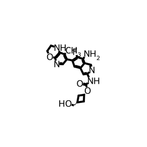 Cc1c(-c2cc3cc(NC(=O)O[C@H]4C[C@@H](CO)C4)ncc3c(N)c2F)cnc2c1NCCO2